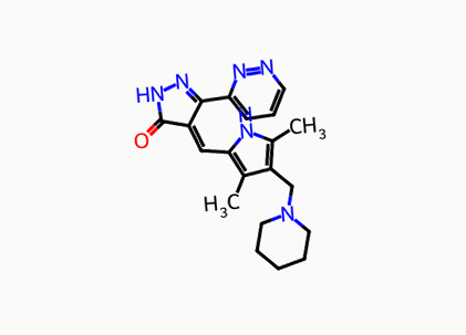 Cc1[nH]c(/C=C2/C(=O)NN=C2c2cccnn2)c(C)c1CN1CCCCC1